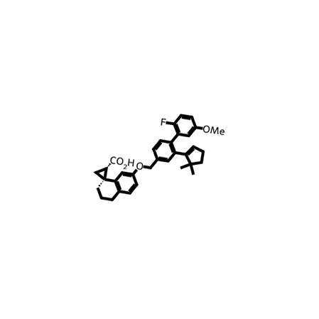 COc1ccc(F)c(-c2ccc(COc3ccc4c(c3)[C@@]3(CCC4)C[C@@H]3C(=O)O)cc2C2=CCCC2(C)C)c1